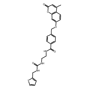 Cc1cc(=O)oc2cc(OCc3ccc(C(=O)NCCNC(=O)NCc4cccs4)cc3)ccc12